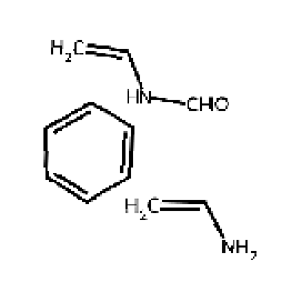 C=CN.C=CNC=O.c1ccccc1